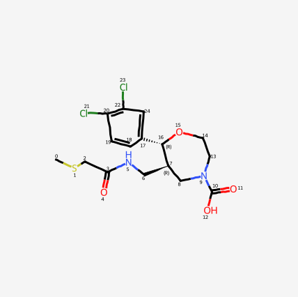 CSCC(=O)NC[C@@H]1CN(C(=O)O)CCO[C@H]1c1ccc(Cl)c(Cl)c1